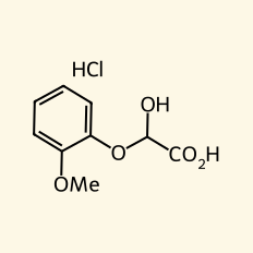 COc1ccccc1OC(O)C(=O)O.Cl